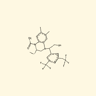 CCC1CN(C(CO)c2cc(C(F)(F)F)cc(C(F)(F)F)c2)c2cc(C)c(C)cc2N1C(=O)O